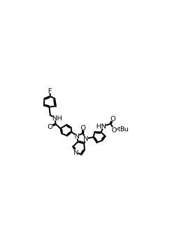 CC(C)(C)OC(=O)Nc1cccc(-n2c(=O)n(-c3ccc(C(=O)NCc4ccc(F)cc4)cc3)c3cnccc32)c1